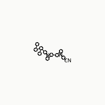 N#Cc1ccc(-n2c3ccccc3c3cc(-c4ccc5c(c4)c4ccccc4n5-c4ccc(-c5cccc(-c6ccccc6-c6ccccc6)c5-c5ccccc5)cc4)ccc32)cc1